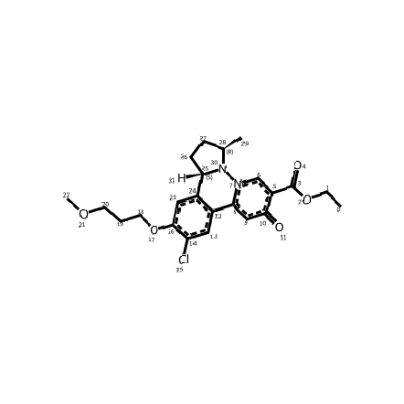 CCOC(=O)c1cn2c(cc1=O)-c1cc(Cl)c(OCCCOC)cc1[C@@H]1CC[C@@H](C)N12